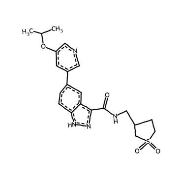 CC(C)Oc1cncc(-c2ccc3[nH]nc(C(=O)NCC4CCS(=O)(=O)C4)c3c2)c1